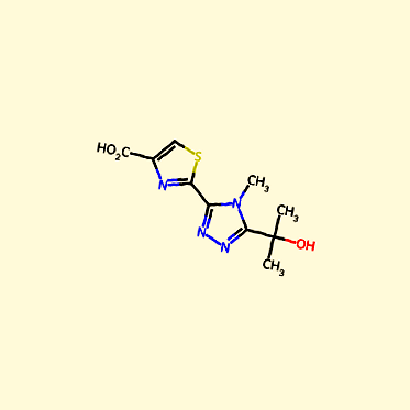 Cn1c(-c2nc(C(=O)O)cs2)nnc1C(C)(C)O